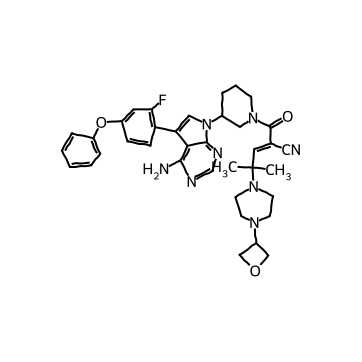 CC(C)(C=C(C#N)C(=O)N1CCCC(n2cc(-c3ccc(Oc4ccccc4)cc3F)c3c(N)ncnc32)C1)N1CCN(C2COC2)CC1